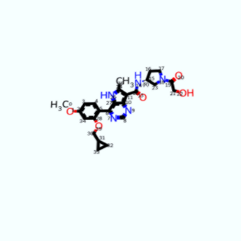 COc1ccc(-c2ncnc3c(C(=O)N[C@@H]4CCN(C(=O)CO)C4)c(C)[nH]c23)c(OCC2CC2)c1